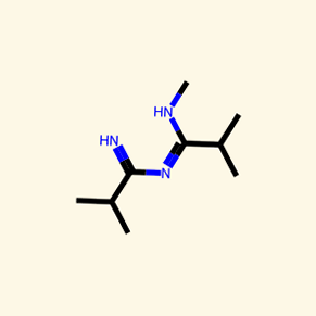 CN/C(=N\C(=N)C(C)C)C(C)C